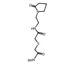 CNC(=O)CSCC(=O)NCCN1CCCC1=O